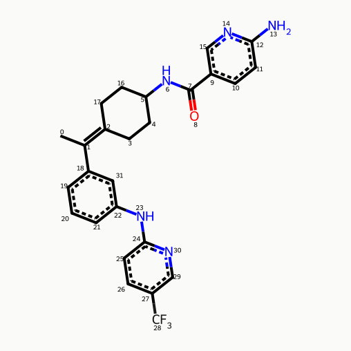 CC(=C1CCC(NC(=O)c2ccc(N)nc2)CC1)c1cccc(Nc2ccc(C(F)(F)F)cn2)c1